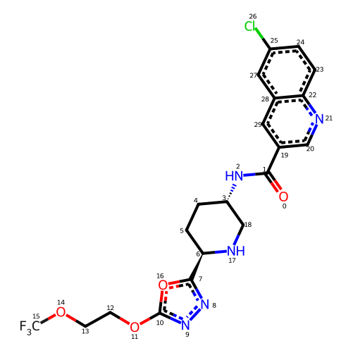 O=C(N[C@H]1CC[C@H](c2nnc(OCCOC(F)(F)F)o2)NC1)c1cnc2ccc(Cl)cc2c1